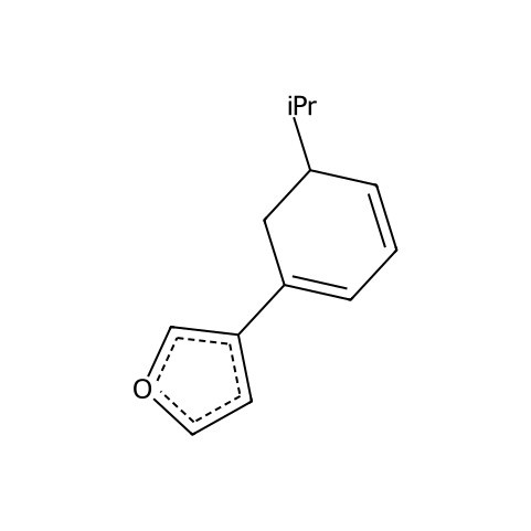 CC(C)C1C=CC=C(c2ccoc2)C1